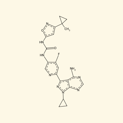 CC1(c2cc(NC(=O)Nc3cnc(-c4nn(C5CC5)c5ncnc(N)c45)cc3F)on2)CC1